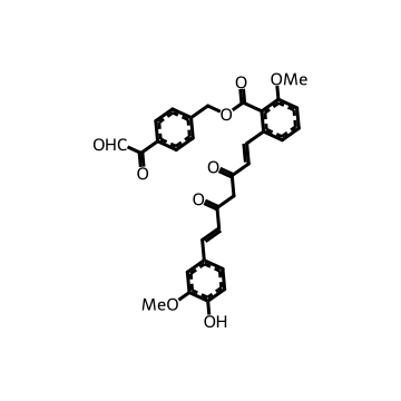 COc1cc(C=CC(=O)CC(=O)C=Cc2cccc(OC)c2C(=O)OCc2ccc(C(=O)C=O)cc2)ccc1O